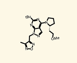 COCC[C@H]1CCCN1c1nc(C(C)(C)C)nc2c1cnn2Cc1nonc1C